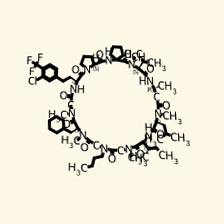 CCCCN1CC(=O)N(C)[C@@H](CC2CCCCC2)C(=O)N(C)CC(=O)N[C@@H](CCc2ccc(C(F)(F)F)c(Cl)c2)C(=O)N2CCC[C@H]2C(=O)NC2(CCCC2)C(=O)N(C)[C@@H](C(C)C)C(=O)N[C@H](C)CC(=O)N(C)[C@@H](CC(C)C)C(=O)N[C@@H]([C@@H](C)CC)C(=O)N(C)CC1=O